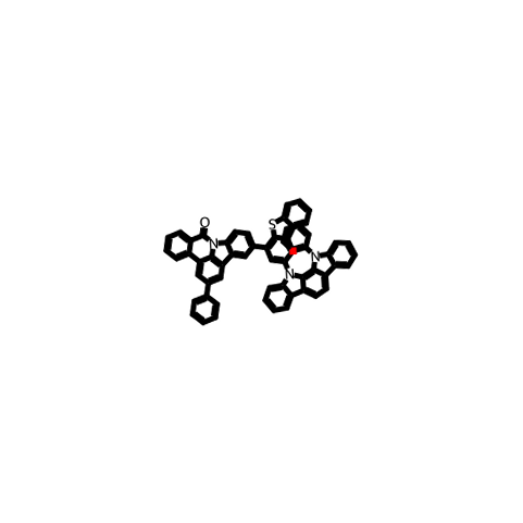 O=c1c2ccccc2c2cc(-c3ccccc3)cc3c4cc(-c5cc(-n6c7ccccc7c7ccc8c9ccccc9n(-c9ccccc9)c8c76)cc6c5sc5ccccc56)ccc4n1c23